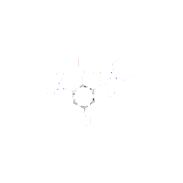 CCN(CC)S(=O)(=O)c1cc(Cl)cc([N+](=O)[O-])c1O